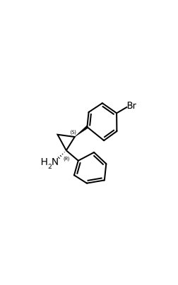 N[C@]1(c2ccccc2)C[C@H]1c1ccc(Br)cc1